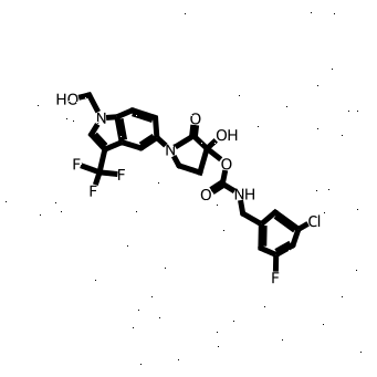 O=C(NCc1cc(F)cc(Cl)c1)OC1(O)CCN(c2ccc3c(c2)c(C(F)(F)F)cn3CO)C1=O